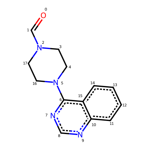 O=CN1CCN(c2ncnc3ccccc23)CC1